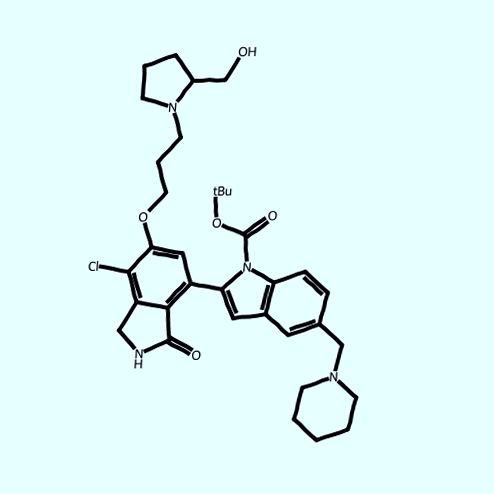 CC(C)(C)OC(=O)n1c(-c2cc(OCCCN3CCCC3CO)c(Cl)c3c2C(=O)NC3)cc2cc(CN3CCCCC3)ccc21